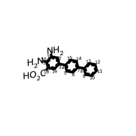 Nc1cc(-c2ccc(-c3ccccc3)cc2)cc(C(=O)O)c1N